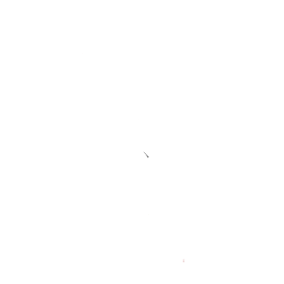 CCCS(=O)(=O)c1cc([C@H]2CC[C@H](c3cc(OC)c(OC)c(OC)c3)O2)cc(OC)c1OCCBr